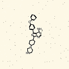 Nc1ncnn2c(C3CCC(N4CCNCC4)CC3)nc(-c3ccc(Oc4ccccc4)cc3)c12